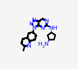 Cc1ccc2cc(-n3nnc4cnc(N[C@@H]5CC[C@@H](N)C5)nc43)ccc2n1